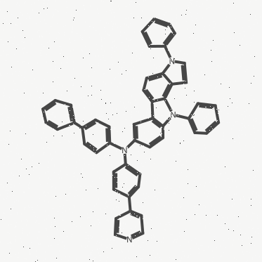 c1ccc(-c2ccc(N(c3ccc(-c4ccncc4)cc3)c3ccc4c(c3)c3ccc5c(ccn5-c5ccccc5)c3n4-c3ccccc3)cc2)cc1